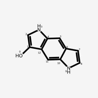 Oc1c[nH]c2cc3cc[nH]c3cc12